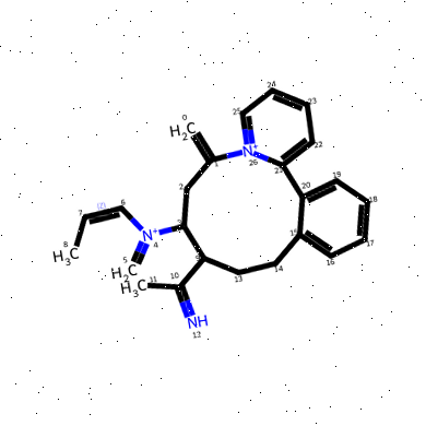 C=C1CC([N+](=C)/C=C\C)C(C(C)=N)CCc2ccccc2-c2cccc[n+]21